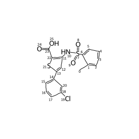 Cc1ccccc1S(=O)(=O)Nc1cc(-c2cccc(Cl)c2)sc1C(=O)O